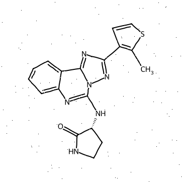 Cc1sccc1-c1nc2c3ccccc3nc(N[C@@H]3CCNC3=O)n2n1